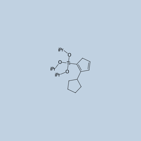 CC(C)[O][Ti]([O]C(C)C)([O]C(C)C)[C]1=C(C2CCCC2)C=CC1